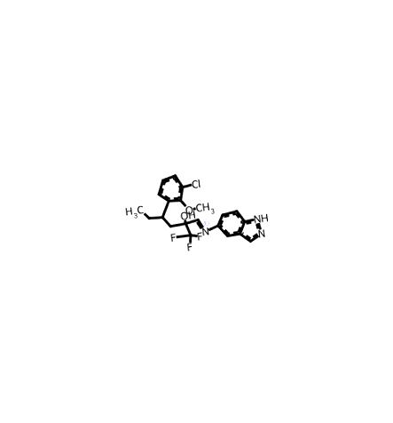 CCC(CC(O)(/C=N/c1ccc2[nH]ncc2c1)C(F)(F)F)c1cccc(Cl)c1OC